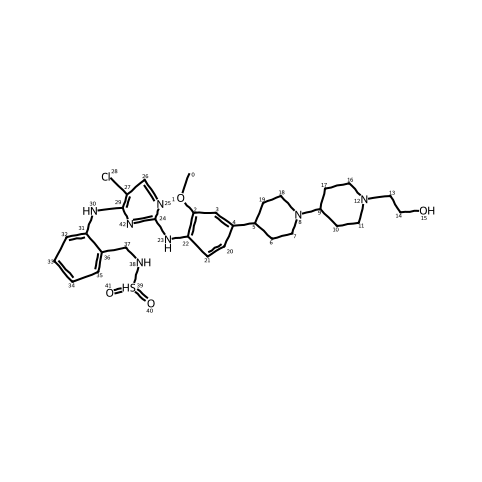 COc1cc(C2CCN(C3CCN(CCO)CC3)CC2)ccc1Nc1ncc(Cl)c(Nc2ccccc2CN[SH](=O)=O)n1